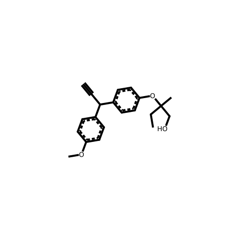 C#CC(c1ccc(OC)cc1)c1ccc(OC(C)(CC)CO)cc1